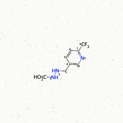 O=C(O)NNCc1ccc(C(F)(F)F)nc1